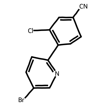 N#Cc1ccc(-c2ccc(Br)cn2)c(Cl)c1